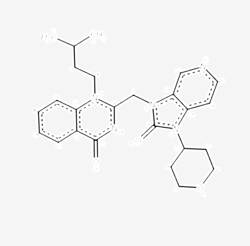 CC(C)CCn1c(Cn2c(=O)n(C3CCOCC3)c3ccncc32)nc(=O)c2ccccc21